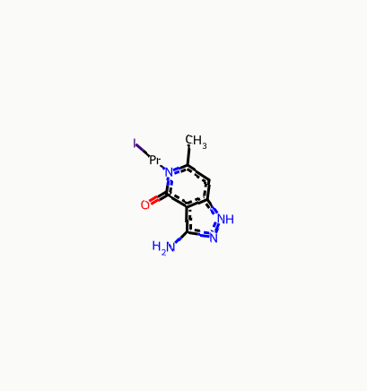 Cc1cc2[nH]nc(N)c2c(=O)[n]1[Pr][I]